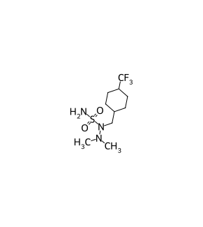 CN(C)N(CC1CCC(C(F)(F)F)CC1)S(N)(=O)=O